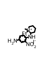 CC[N+]1(C)CCCCC1Nc1ccc(N)cc1[N+](=O)[O-].[I-]